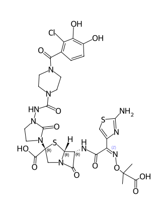 CC(C)(O/N=C(\C(=O)N[C@@H]1C(=O)N2C[C@@](C(=O)O)(N3CCN(NC(=O)N4CCN(C(=O)c5ccc(O)c(O)c5Cl)CC4)C3=O)S[C@H]12)c1csc(N)n1)C(=O)O